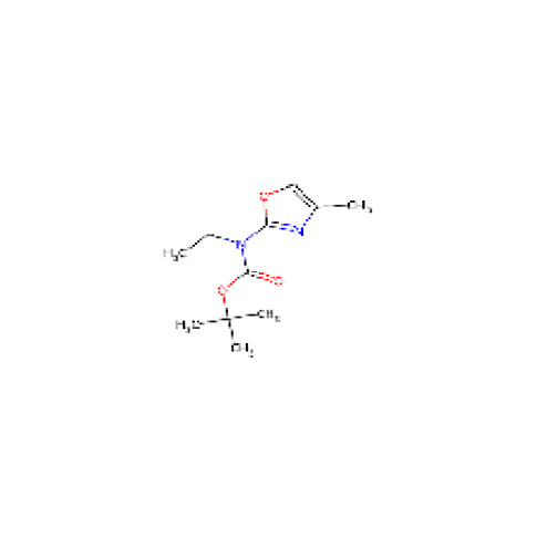 CCN(C(=O)OC(C)(C)C)c1nc(C)co1